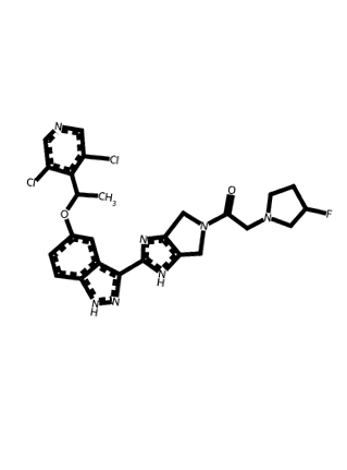 CC(Oc1ccc2[nH]nc(-c3nc4c([nH]3)CN(C(=O)CN3CCC(F)C3)C4)c2c1)c1c(Cl)cncc1Cl